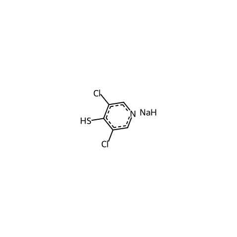 Sc1c(Cl)cncc1Cl.[NaH]